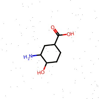 NC1CC(C(=O)O)CCC1O